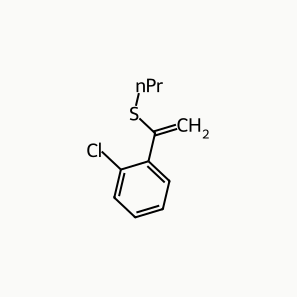 C=C(SCCC)c1ccccc1Cl